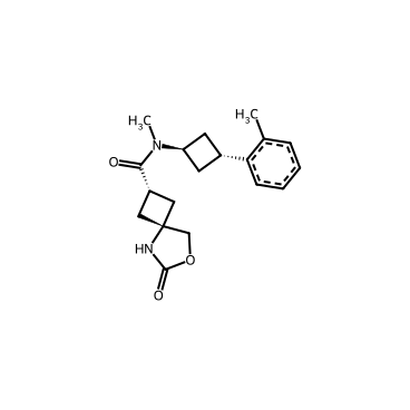 Cc1ccccc1[C@H]1C[C@H](N(C)C(=O)[C@H]2C[C@]3(COC(=O)N3)C2)C1